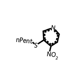 CCCCCSc1cnccc1[N+](=O)[O-]